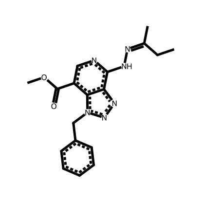 CCC(C)=NNc1ncc(C(=O)OC)c2c1nnn2Cc1ccccc1